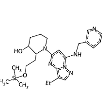 CCc1cnn2c(NCc3cccnc3)cc(N3CCCC(O)C3CCO[Si](C)(C)C)nc12